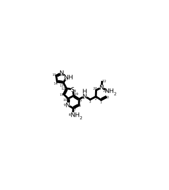 C=CC(CNc1cc(N)nc2cc(-c3ccn[nH]3)sc12)CN(C)N